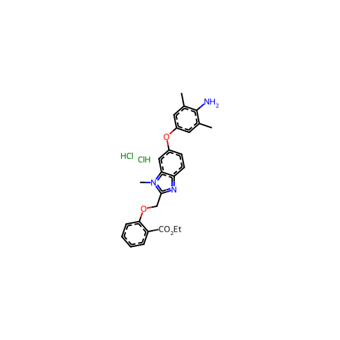 CCOC(=O)c1ccccc1OCc1nc2ccc(Oc3cc(C)c(N)c(C)c3)cc2n1C.Cl.Cl